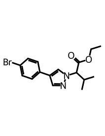 CCOC(=O)C(C(C)C)n1cc(-c2ccc(Br)cc2)cn1